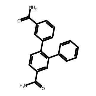 NC(=O)c1cccc(-c2ccc(C(N)=O)cc2-c2ccccc2)c1